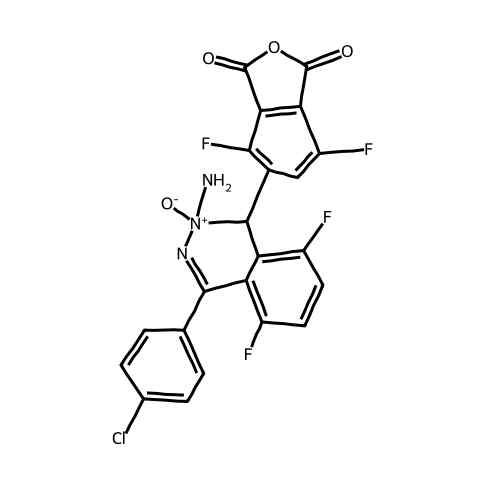 N[N+]1([O-])N=C(c2ccc(Cl)cc2)c2c(F)ccc(F)c2C1c1cc(F)c2c(c1F)C(=O)OC2=O